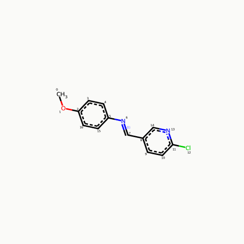 COc1ccc(/N=C/c2ccc(Cl)nc2)cc1